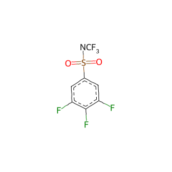 O=S(=O)(NC(F)(F)F)c1cc(F)c(F)c(F)c1